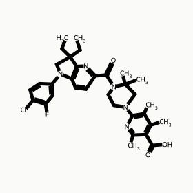 CCC1(CC)CN(c2ccc(Cl)c(F)c2)c2ccc(C(=O)N3CCN(c4nc(C)c(C(=O)O)c(C)c4C)CC3(C)C)nc21